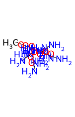 CCCCOCCOCCNC(=O)C(CCCCNC(=O)C(CCCCNC(=O)C(N)CCCCN)NC(=O)C(N)CCCCN)NC(=O)C(CCCCNC(=O)C(N)CCCCN)NC(=O)C(N)CCCCN